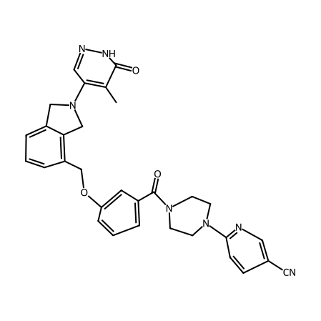 Cc1c(N2Cc3cccc(COc4cccc(C(=O)N5CCN(c6ccc(C#N)cn6)CC5)c4)c3C2)cn[nH]c1=O